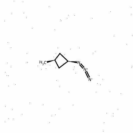 C[C@H]1C[C@@H](N=[N+]=[N-])C1